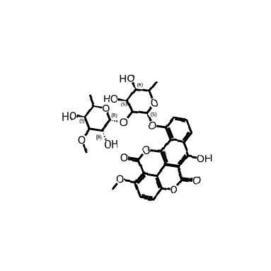 COc1ccc2oc(=O)c3c(O)c4cccc(O[C@@H]5OC(C)[C@H](O)[C@H](O)C5O[C@H]5OC(C)[C@H](O)C(OC)[C@H]5O)c4c4oc(=O)c1c2c34